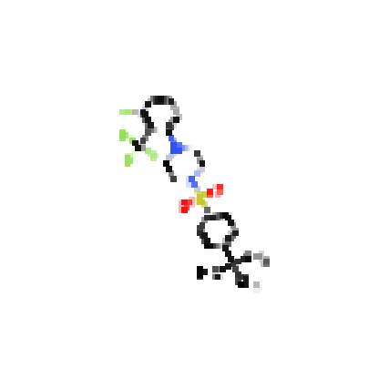 CC(C)(C)c1ccc(S(=O)(=O)N2CCN(c3cccc(F)c3C(F)(F)F)CC2)cc1